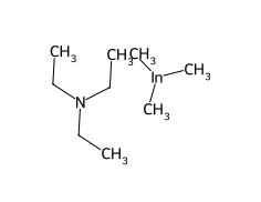 CCN(CC)CC.[CH3][In]([CH3])[CH3]